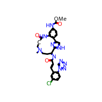 COC(=O)Nc1ccc2c(c1)NC(=O)CCN(C)CC/C(=N\C(=O)/C=C/c1cc(Cl)ccc1-n1cnnn1)c1nc-2c[nH]1